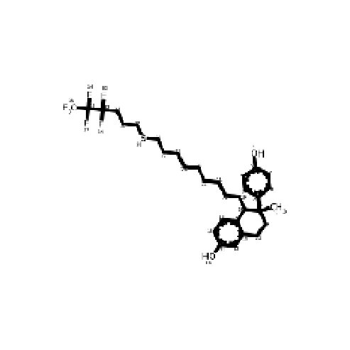 CC1(c2ccc(O)cc2)CCc2cc(O)ccc2C1CCCCCCCCCSCCCC(F)(F)C(F)(F)C(F)(F)F